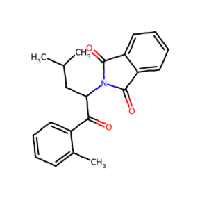 Cc1ccccc1C(=O)C(CC(C)C)N1C(=O)c2ccccc2C1=O